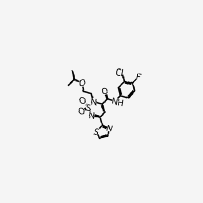 CC(C)OCCN1C(C(=O)Nc2ccc(F)c(Cl)c2)=CC(c2nccs2)=NS1(=O)=O